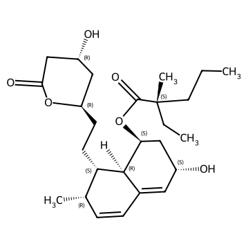 CCC[C@](C)(CC)C(=O)O[C@H]1C[C@H](O)C=C2C=C[C@H](C)[C@H](CC[C@@H]3C[C@@H](O)CC(=O)O3)[C@H]21